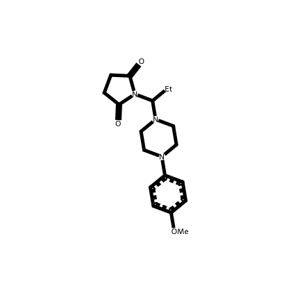 CCC(N1CCN(c2ccc(OC)cc2)CC1)N1C(=O)CCC1=O